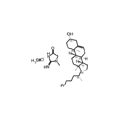 CC(C)CCC[C@@H](C)[C@H]1CC[C@H]2[C@@H]3CC=C4C[C@@H](O)CC[C@]4(C)[C@H]3CC[C@]12C.CN1CC(=O)NC1=N.Cl.[CaH2]